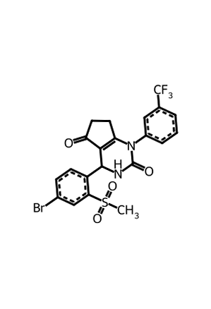 CS(=O)(=O)c1cc(Br)ccc1C1NC(=O)N(c2cccc(C(F)(F)F)c2)C2=C1C(=O)CC2